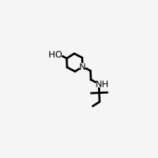 CCC(C)(C)NCCN1CCC(O)CC1